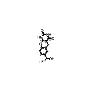 CCCC(O)c1ccc2c(c1)Cc1c([nH]c(=O)[nH]c1=O)O2